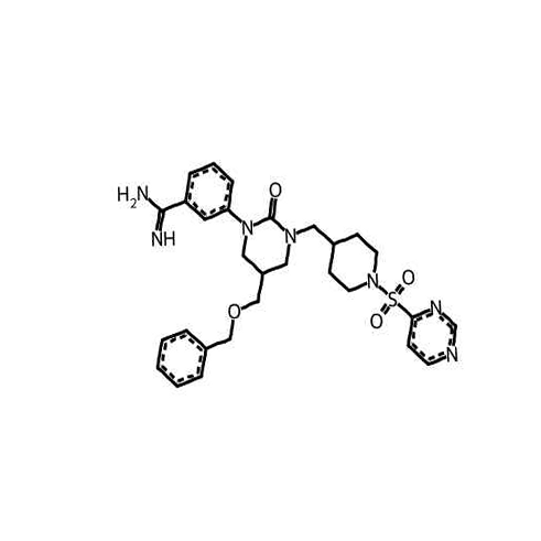 N=C(N)c1cccc(N2CC(COCc3ccccc3)CN(CC3CCN(S(=O)(=O)c4ccncn4)CC3)C2=O)c1